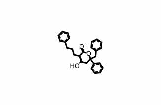 O=C1OC(Cc2ccccc2)(c2ccccc2)CC(O)=C1CCCc1ccccc1